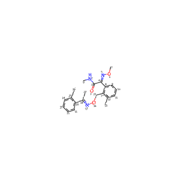 CNC(=O)/C(=N/OC)c1cccc(C)c1CO/N=C(\C)c1ccccc1C